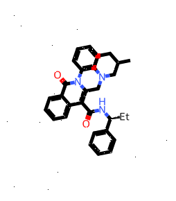 CC[C@H](NC(=O)c1c(CN2CCCC(C)C2)n(-c2ccccc2)c(=O)c2ccccc12)c1ccccc1